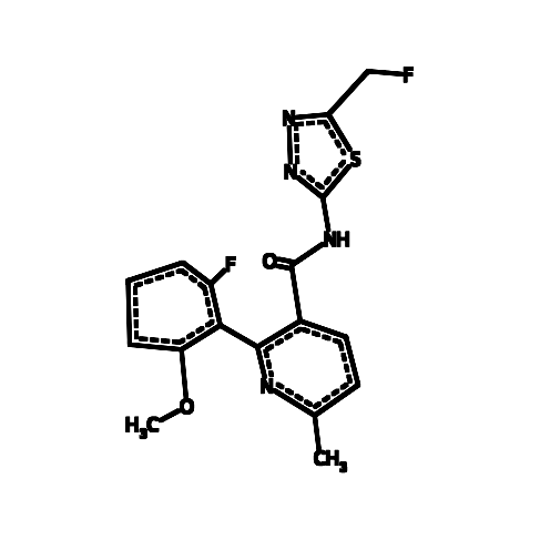 COc1cccc(F)c1-c1nc(C)ccc1C(=O)Nc1nnc(CF)s1